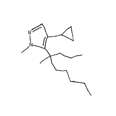 CCCCCC(C)(CCC)c1c(C2CC2)cnn1C